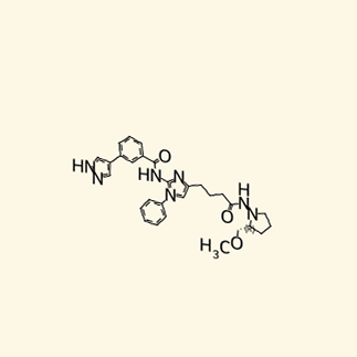 COC[C@H]1CCCN1NC(=O)CCCc1cn(-c2ccccc2)c(NC(=O)c2cccc(-c3cn[nH]c3)c2)n1